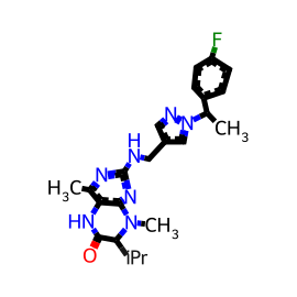 Cc1nc(NCc2cnn(C(C)c3ccc(F)cc3)c2)nc2c1NC(=O)C(C(C)C)N2C